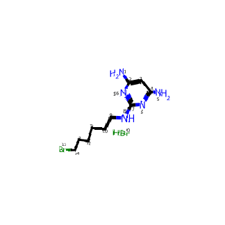 Br.Nc1cc(N)nc(NCCCCCCBr)n1